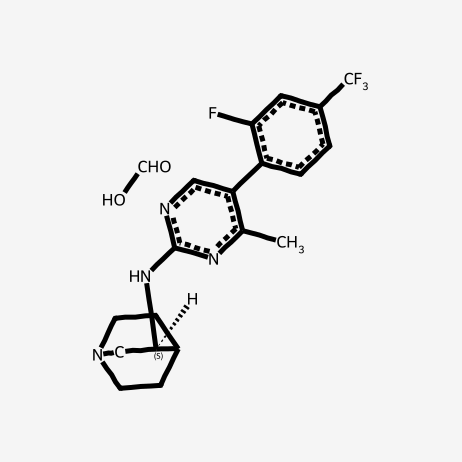 Cc1nc(N[C@@H]2CN3CCC2CC3)ncc1-c1ccc(C(F)(F)F)cc1F.O=CO